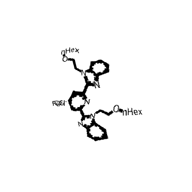 CCCCCCOCCn1c(-c2cccc(-c3nc4ccccc4n3CCOCCCCCC)n2)nc2ccccc21.[Cl-].[Cl-].[Fe+2]